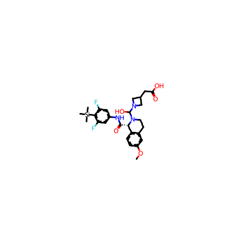 COc1ccc2c(c1)CCN(C(O)N1CC(CC(=O)O)C1)[C@H]2C(=O)Nc1cc(F)c([Si](C)(C)C)c(F)c1